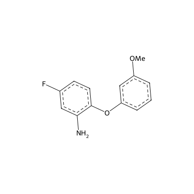 COc1cccc(Oc2ccc(F)cc2N)c1